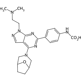 CN(C)CCn1ncc2c(N3CC4CCC(C3)O4)nc(-c3ccc(NC(=O)O)cc3)nc21